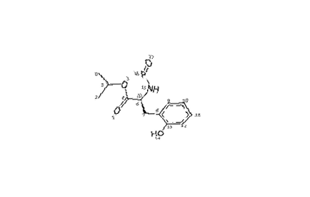 CC(C)OC(=O)[C@H](Cc1ccccc1O)NP=O